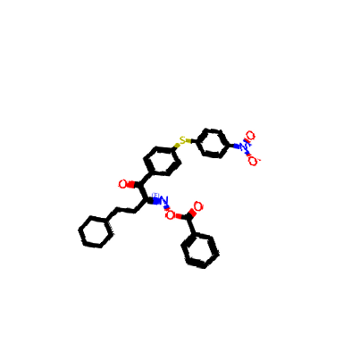 O=C(O/N=C(\CCC1CCCCC1)C(=O)c1ccc(Sc2ccc([N+](=O)[O-])cc2)cc1)c1ccccc1